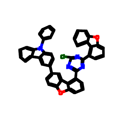 Clc1nc(-c2cccc3oc4ccccc4c23)nc(-c2cccc3oc4ccc(-c5ccc6c(c5)c5ccccc5n6-c5ccccc5)cc4c23)n1